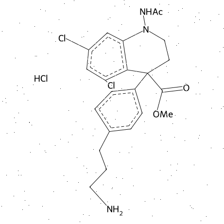 COC(=O)C1(c2ccc(CCCN)cc2)CCN(NC(C)=O)c2cc(Cl)cc(Cl)c21.Cl